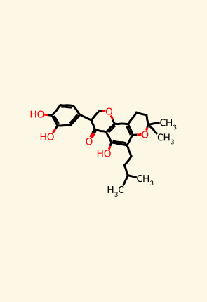 CC(C)CCc1c(O)c2c(c3c1OC(C)(C)CC3)OCC(c1ccc(O)c(O)c1)C2=O